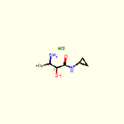 CCCCC(N)[C@H](O)C(=O)NC1CC1.Cl